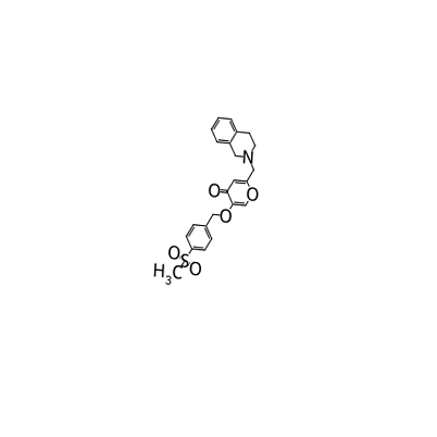 CS(=O)(=O)c1ccc(COc2coc(CN3CCc4ccccc4C3)cc2=O)cc1